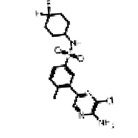 Cc1ccc(S(=O)(=O)NC2CCC(F)(F)CC2)cc1-c1cnc(N)c(Cl)n1